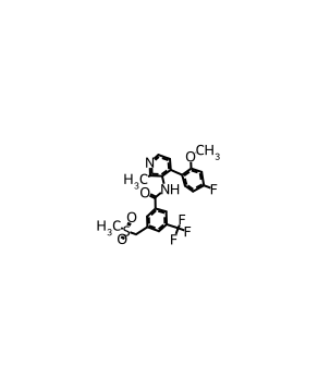 COc1cc(F)ccc1-c1ccnc(C)c1NC(=O)c1cc(CS(C)(=O)=O)cc(C(F)(F)F)c1